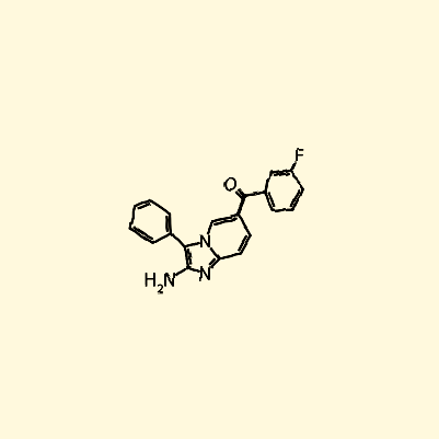 Nc1nc2ccc(C(=O)c3cccc(F)c3)cn2c1-c1ccccc1